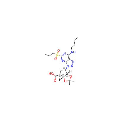 CCCCNc1nc(S(=O)(=O)CCC)nc2c1nnn2[C@@H]1C[C@H](C(=O)O)[C@H]2OC(C)(C)O[C@H]21